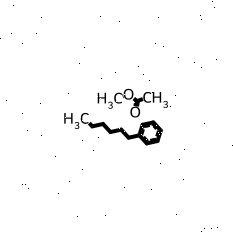 CCCCCCc1ccccc1.COC(C)=O